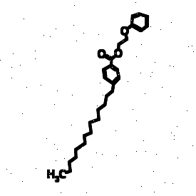 CCCCCCCCCCCCCCc1ccc(C(=O)OCCOc2ccccc2)cc1